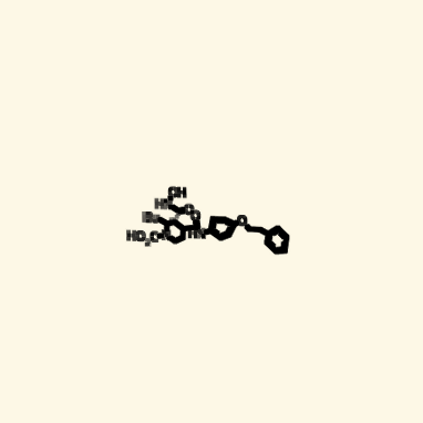 CCC(C)C1[C@H](C(=O)NO)C(C(=O)Nc2ccc(OCCc3ccccc3)cc2)CCN1C(=O)O